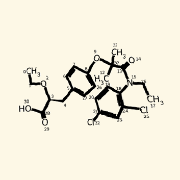 CCO[C@@H](Cc1ccc(OC(C)(C)C(=O)N(CC)c2ccc(Cl)cc2Cl)cc1)C(=O)O